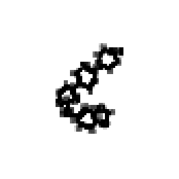 c1cc(-c2ccc(N3CCNCC3)nc2)nc(Nc2ccc3c(c2)OCO3)n1